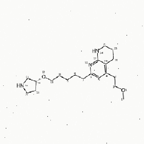 COCCc1cc(CCCCCO[C@@H]2CCNC2)nc2c1CCCN2